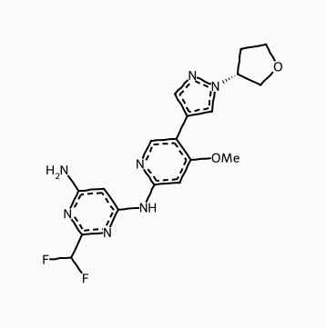 COc1cc(Nc2cc(N)nc(C(F)F)n2)ncc1-c1cnn([C@@H]2CCOC2)c1